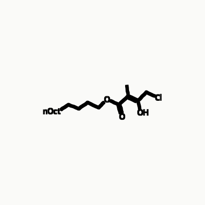 CCCCCCCCCCCCOC(=O)/C(C)=C(\O)CCl